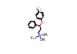 C[N+](C)(C)CCC(Oc1ccc(C(F)(F)F)cc1)c1ccccc1